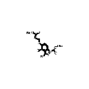 COC(=O)CCSc1ccc2c(c(Br)nn2C(=O)OC(C)(C)C)c1Cl